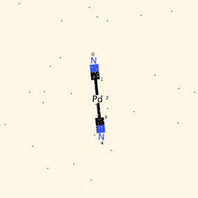 N#[C][Pd][C]#N